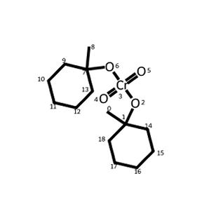 CC1([O][Cr](=[O])(=[O])[O]C2(C)CCCCC2)CCCCC1